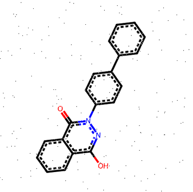 O=c1c2ccccc2c(O)nn1-c1ccc(-c2ccccc2)cc1